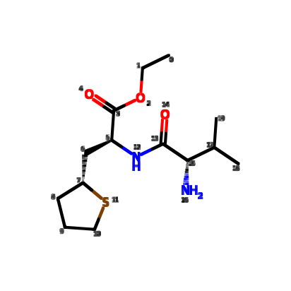 CCOC(=O)[C@H](C[C@H]1CCCS1)NC(=O)[C@@H](N)C(C)C